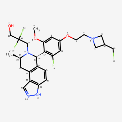 COc1cc(OCCN2CC(CF)C2)cc(F)c1[C@@H]1c2ccc3[nH]ncc3c2C[C@@H](C)N1CC(F)(F)CO